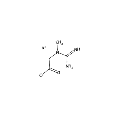 CN(CC(=O)[O-])C(=N)N.[K+]